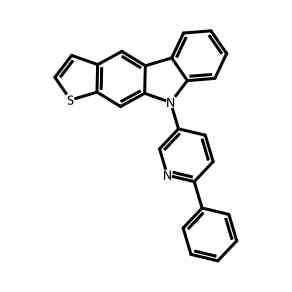 c1ccc(-c2ccc(-n3c4ccccc4c4cc5ccsc5cc43)cn2)cc1